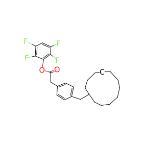 O=C(Cc1ccc(CC2CCCCCCCCCCC2)cc1)Oc1c(F)c(F)cc(F)c1F